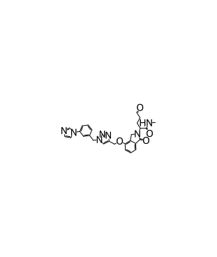 CNC(=O)C(CCC=O)N1Cc2c(OCc3cn(Cc4cccc(-n5ccnc5)c4)nn3)cccc2C1=O